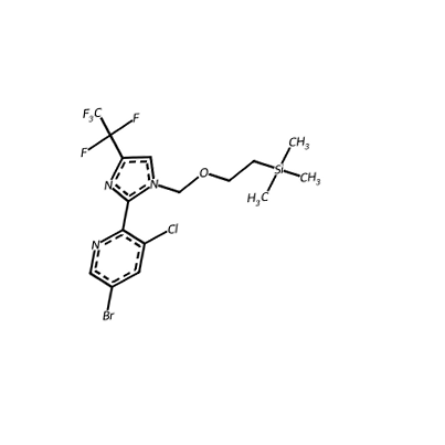 C[Si](C)(C)CCOCn1cc(C(F)(F)C(F)(F)F)nc1-c1ncc(Br)cc1Cl